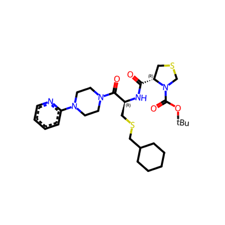 CC(C)(C)OC(=O)N1CSC[C@H]1C(=O)N[C@@H](CSCC1CCCCC1)C(=O)N1CCN(c2ccccn2)CC1